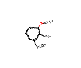 CCCCc1cccc(OC(=O)O)c1CCC